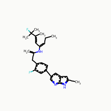 C=C(Cc1ccc(-c2cnc3[nH]c(C)cc3c2)cc1F)NC(=C/CC)/C=C(\C)C(C)(C)F